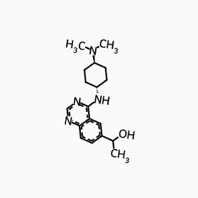 CC(O)c1ccc2ncnc(N[C@H]3CC[C@H](N(C)C)CC3)c2c1